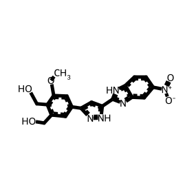 COc1cc(-c2cc(-c3nc4cc([N+](=O)[O-])ccc4[nH]3)[nH]n2)cc(CO)c1CO